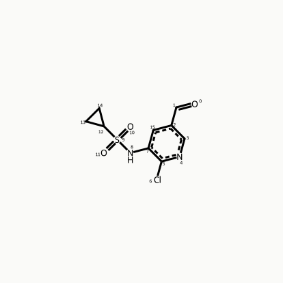 O=Cc1cnc(Cl)c(NS(=O)(=O)C2CC2)c1